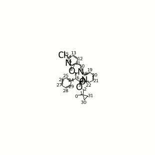 CC1(COC(=O)C(C(=O)N(Cc2ccc(Cl)nc2)c2ccccn2)c2ccccc2)CC1